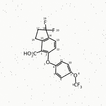 O=C(O)c1c(Oc2ccc(OC(F)(F)F)cc2)ccc2c1CCC2(F)F